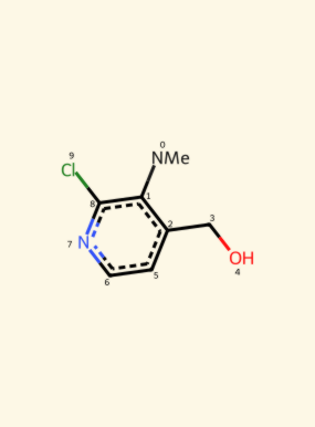 CNc1c(CO)ccnc1Cl